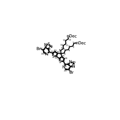 CCCCCCCCCCCCCCCCC1(CCCCCCCCCCCCCCCC)c2cc(-c3ncc(Br)c4nsnc34)sc2-c2sc(-c3ncc(Br)c4nsnc34)cc21